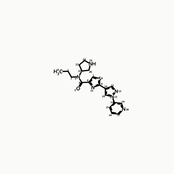 CCCN(C(=O)c1csc(-c2cnn(-c3cccnc3)c2)n1)[C@H]1CCNC1